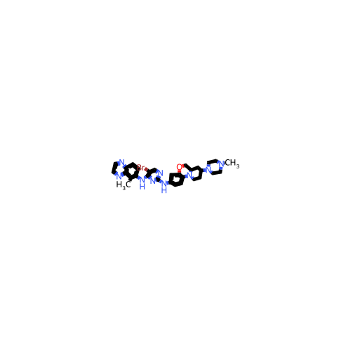 Cc1c(Nc2nc(Nc3ccc4c(c3)OCC3CC(N5CCN(C)CC5)CCN43)ncc2Br)ccc2nccnc12